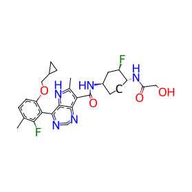 Cc1ccc(OCC2CC2)c(-c2ncnc3c(C(=O)N[C@@H]4CC[C@@H](NC(=O)CO)[C@H](F)C4)c(C)[nH]c23)c1F